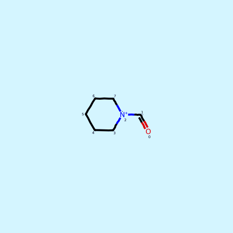 O=[C][N+]1CCCCC1